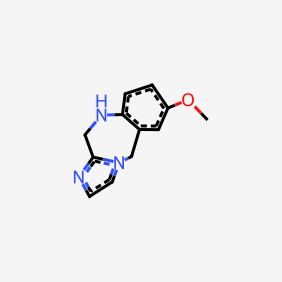 COc1ccc2c(c1)Cn1ccnc1CN2